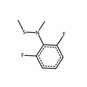 CSN(C)c1c(F)cccc1F